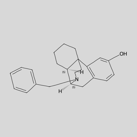 Oc1ccc2c(c1)C13CCCC[C@@H]1[C@H](C2)N(Cc1ccccc1)CC3